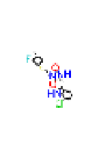 Cc1ccc(SCCN2C(=O)NC(Cc3c[nH]c4c(Cl)cccc34)C2=O)cc1F